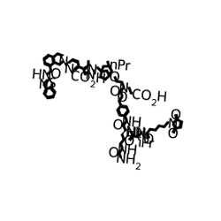 CCCC1(C)CC2(Cn3ncc(-c4ccc(N5CCc6cccc(C(=O)Nc7nc8ccccc8s7)c6C5)nc4C(=O)O)c3C)CCC(OCCN(CCC(=O)O)C(=O)OCc3ccc(NC(=O)[C@H](CCCNC(N)=O)NC(=O)[C@@H](NC(=O)CCCCCN4C(=O)C=CC4=O)C(C)C)cc3)(C1)C2